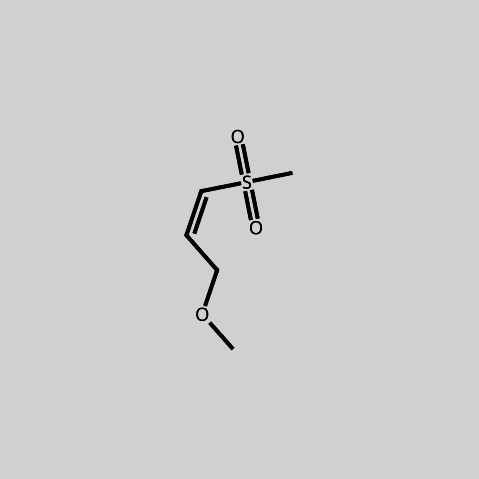 COC/C=C\S(C)(=O)=O